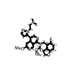 COc1cc2c(-c3ccnn3CCN(C)C)cnc(N(Cc3c(F)ccc4c3CCO4)C(=O)OC(C)(C)C)c2cn1